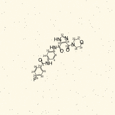 O=C(Nc1ccc(NC(=O)c2[nH]cnc2C(=O)N2CCOCC2)cc1)c1ccc(F)cc1